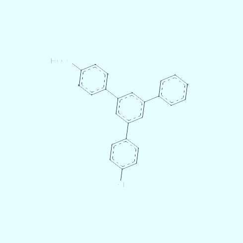 Cc1ccc(-c2cc(-c3ccccc3)cc(-c3ccc(C(=O)O)cc3)c2)cc1